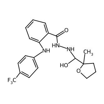 CC1(C(O)NNC(=O)c2ccccc2Nc2ccc(C(F)(F)F)cc2)CCCO1